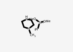 CN1CCNCC1.CO[SiH](OC)C(C)C